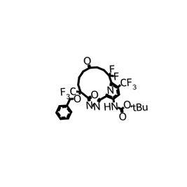 CC(C)(C)OC(=O)Nc1cc(C(F)(F)F)c2nc1-c1nnc(o1)C(OCc1ccccc1)(C(F)(F)F)CCCC(=O)CCC2(F)F